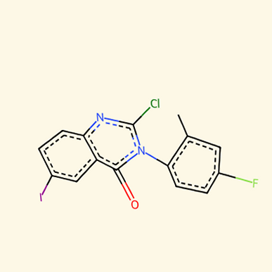 Cc1cc(F)ccc1-n1c(Cl)nc2ccc(I)cc2c1=O